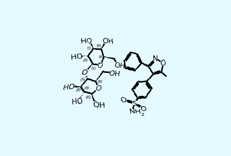 Cc1onc(-c2ccccc2)c1-c1ccc(S(N)(=O)=O)cc1.OC[C@H]1O[C@@H](O[C@H]2[C@H](O)[C@@H](O)[C@H](O)O[C@@H]2CO)[C@H](O)[C@@H](O)[C@H]1O